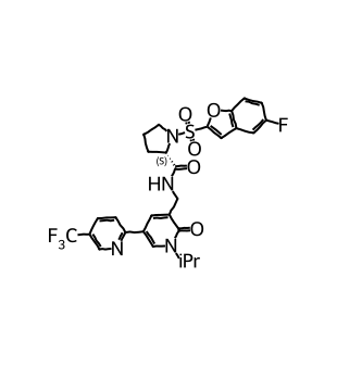 CC(C)n1cc(-c2ccc(C(F)(F)F)cn2)cc(CNC(=O)[C@@H]2CCCN2S(=O)(=O)c2cc3cc(F)ccc3o2)c1=O